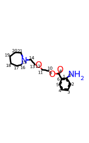 Nc1ccccc1C(=O)OCCOCCN1CCCCCC1